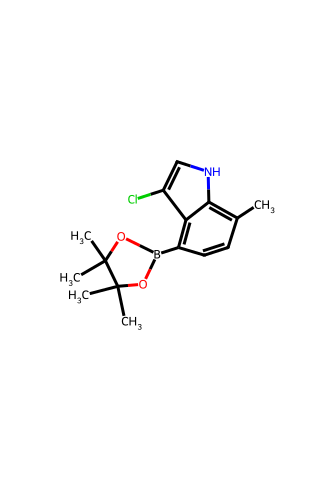 Cc1ccc(B2OC(C)(C)C(C)(C)O2)c2c(Cl)c[nH]c12